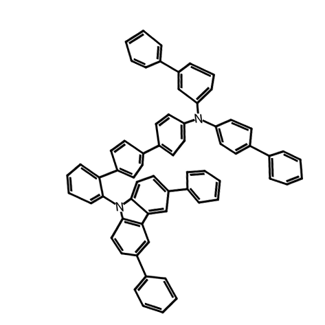 c1ccc(-c2ccc(N(c3ccc(-c4ccc(-c5ccccc5-n5c6ccc(-c7ccccc7)cc6c6cc(-c7ccccc7)ccc65)cc4)cc3)c3cccc(-c4ccccc4)c3)cc2)cc1